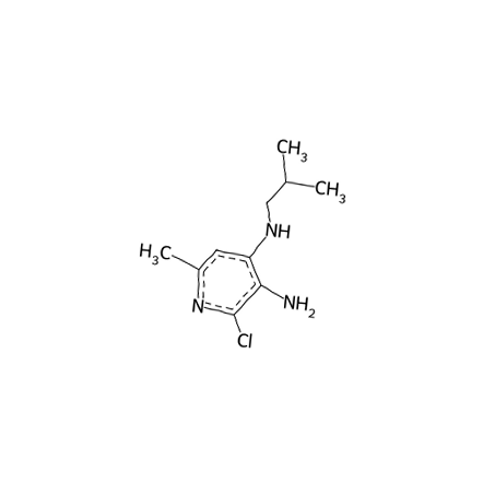 Cc1cc(NCC(C)C)c(N)c(Cl)n1